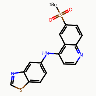 CC(C)(C)S(=O)(=O)c1ccc2nccc(Nc3ccc4scnc4c3)c2c1